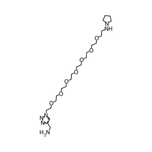 NCc1cn(CCOCCOCCOCCOCCOCCOCCOCCNN2CCCC2)nn1